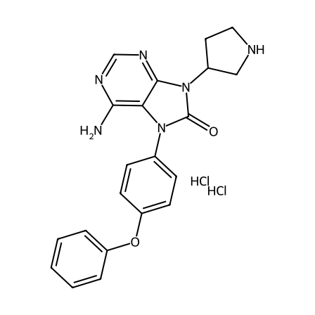 Cl.Cl.Nc1ncnc2c1n(-c1ccc(Oc3ccccc3)cc1)c(=O)n2C1CCNC1